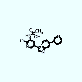 CI(=O)(O)Nc1cc(-c2cnc3cc(-c4cccnc4)ccn23)cnc1Cl